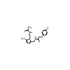 CC(=O)NCCn1c(C)ccc1CNC(=O)COc1ccc(Cl)cc1